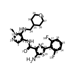 Cn1ncc(NC(=O)c2nc(-c3c(F)cccc3F)sc2N)c1NCC1CCOCC1